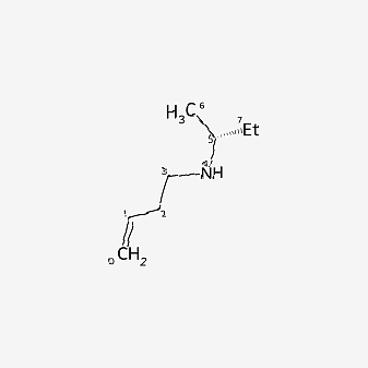 C=CCCN[C@H](C)CC